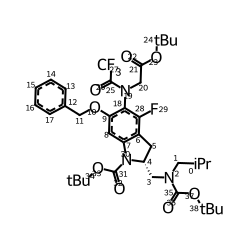 CC(C)CN(C[C@H]1Cc2c(cc(OCc3ccccc3)c(N(CC(=O)OC(C)(C)C)C(=O)C(F)(F)F)c2F)N1C(=O)OC(C)(C)C)C(=O)OC(C)(C)C